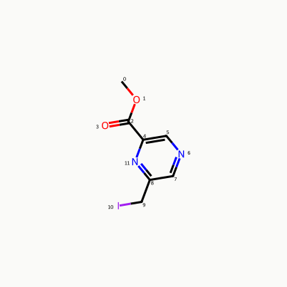 COC(=O)c1cncc(CI)n1